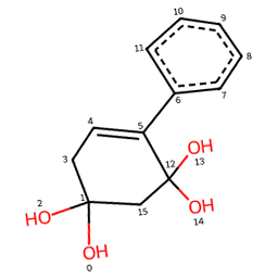 OC1(O)CC=C(c2ccccc2)C(O)(O)C1